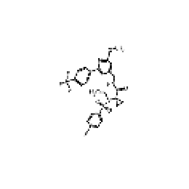 CCN(C1(C(=O)NCc2cc(OC)nc(-c3ccc(C(F)(F)F)cc3)c2)CC1)S(=O)(=O)c1ccc(F)cc1